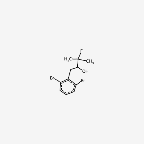 CC(C)(F)C(O)Cc1c(Br)cccc1Br